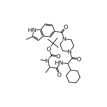 Cc1cc2cc(C(=O)N3CCN(C(=O)C(NC(=O)C(C)N(C)C(=O)OC(C)(C)C)C4CCCCC4)CC3)ccc2[nH]1